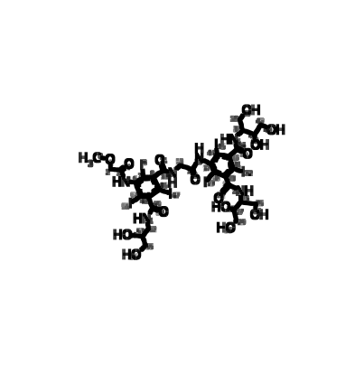 COCC(=O)Nc1c(I)c(C(=O)NCC(=O)Nc2c(I)c(C(=O)NC(CO)C(O)CO)c(I)c(C(=O)NC(CO)C(O)CO)c2I)c(I)c(C(=O)NCC(O)CO)c1I